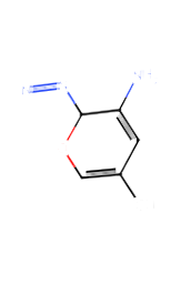 CC1=COC(N=[N])C(N)=C1